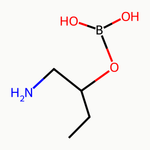 CCC(CN)OB(O)O